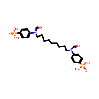 O=CN(CCCCCCCCCN(C=O)c1ccc(P(=O)(O)O)cc1)c1ccc(P(=O)(O)O)cc1